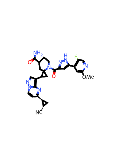 COc1cc(-c2cc(C(=O)N3CCC(C(N)=O)CC34CC4c3cnn4ccc([C@H]5C[C@@H]5C#N)nc34)n[nH]2)c(F)cn1